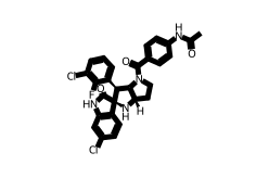 CC(=O)Nc1ccc(C(=O)N2CC[C@@H]3N[C@@]4(C(=O)Nc5cc(Cl)ccc54)[C@@H](c4cccc(Cl)c4F)C32)cc1